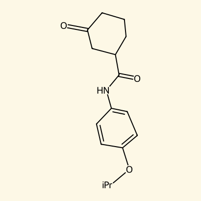 CC(C)Oc1ccc(NC(=O)C2CCCC(=O)C2)cc1